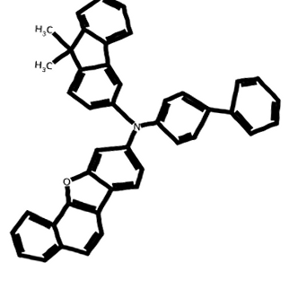 CC1(C)c2ccccc2-c2cc(N(c3ccc(-c4ccccc4)cc3)c3ccc4c(c3)oc3c5ccccc5ccc43)ccc21